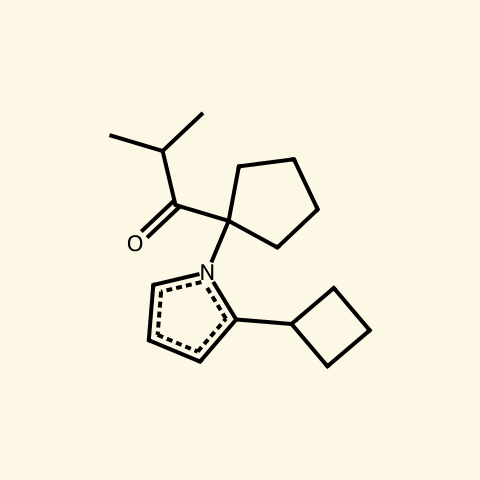 CC(C)C(=O)C1(n2cccc2C2CCC2)CCCC1